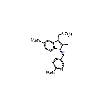 CNc1ncc(/C=C2/C(C)=C(CC(=O)O)c3cc(OC)ccc32)cn1